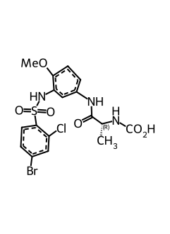 COc1ccc(NC(=O)[C@@H](C)NC(=O)O)cc1NS(=O)(=O)c1ccc(Br)cc1Cl